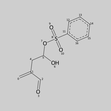 C=C(C=O)CC(O)OS(=O)(=O)c1ccccc1